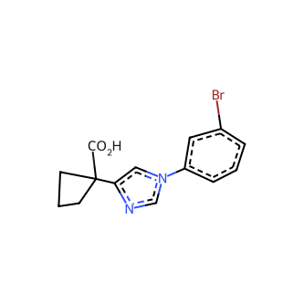 O=C(O)C1(c2cn(-c3cccc(Br)c3)cn2)CCC1